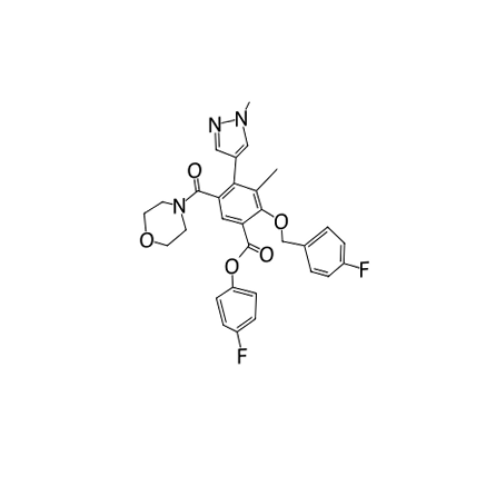 Cc1c(OCc2ccc(F)cc2)c(C(=O)Oc2ccc(F)cc2)cc(C(=O)N2CCOCC2)c1-c1cnn(C)c1